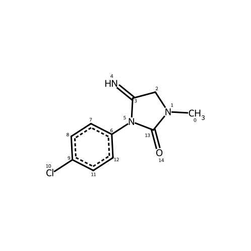 CN1CC(=N)N(c2ccc(Cl)cc2)C1=O